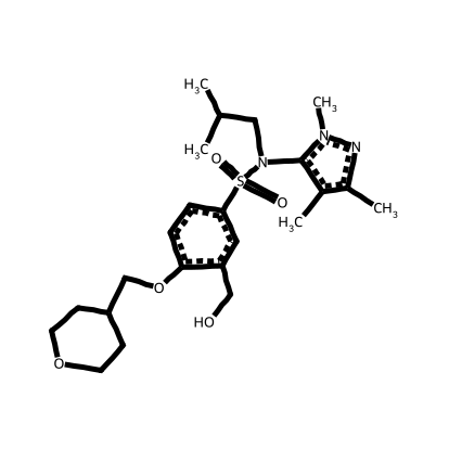 Cc1nn(C)c(N(CC(C)C)S(=O)(=O)c2ccc(OCC3CCOCC3)c(CO)c2)c1C